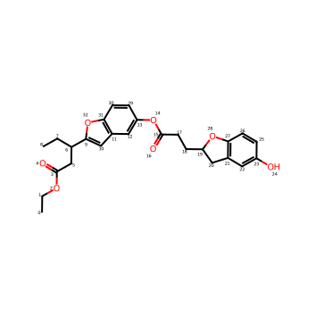 CCOC(=O)CC(CC)c1cc2cc(OC(=O)CCC3Cc4cc(O)ccc4O3)ccc2o1